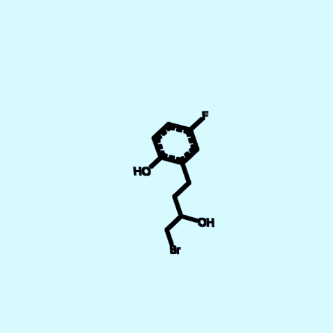 Oc1ccc(F)cc1CCC(O)CBr